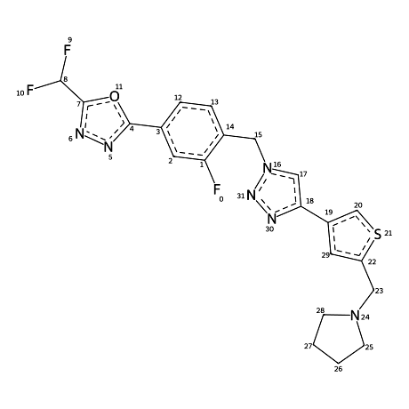 Fc1cc(-c2nnc(C(F)F)o2)ccc1Cn1cc(-c2csc(CN3CCCC3)c2)nn1